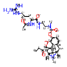 CCC(=O)[C@@H]1Oc2c(OC(=O)N(C)CCNC(=O)[C@@H](CCCNC(=N)N)NC(C)=O)ccc3c2[C@@]12C[C@H]1[C@H]2[C@@H](C3)N1C